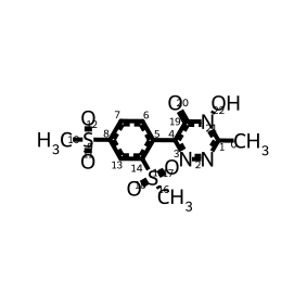 Cc1nnc(-c2ccc(S(C)(=O)=O)cc2S(C)(=O)=O)c(=O)n1O